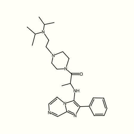 CC(Nc1c(-c2ccccc2)nc2cnccn12)C(=O)N1CCN(CCN(C(C)C)C(C)C)CC1